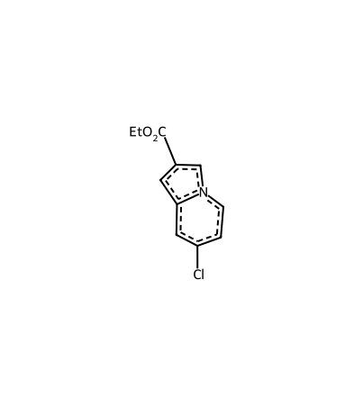 CCOC(=O)c1cc2cc(Cl)ccn2c1